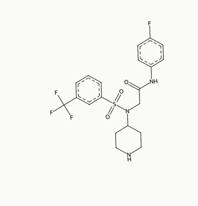 O=C(CN(C1CCNCC1)S(=O)(=O)c1cccc(C(F)(F)F)c1)Nc1ccc(F)cc1